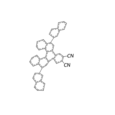 N#Cc1cc2c(cc1C#N)c1cc(-c3ccc4ccccc4c3)c3ccccc3c1c1c3ccccc3c(-c3ccc4ccccc4c3)cc21